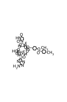 Cc1ccc(C(=O)Oc2ccc(CS[P@]3(=O)OC[C@H]4O[C@@H](n5cnc6c(N)ncnc65)[C@H](OP(=O)(O)OC[C@H]5O[C@@H](n6ccc(=O)[nH]c6=O)[C@H](F)[C@@H]5O3)[C@@H]4F)cc2)c(C)c1